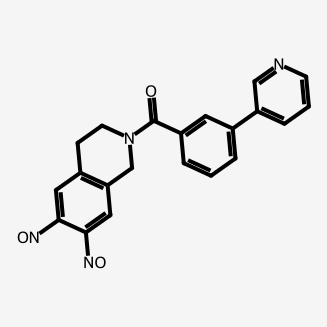 O=Nc1cc2c(cc1N=O)CN(C(=O)c1cccc(-c3cccnc3)c1)CC2